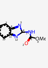 COC(=O)NC1N=c2ccccc2=N1